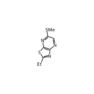 CCc1nc2ncc(SC)nc2s1